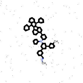 C/N=C/c1cccc(-c2cc(-c3cccc(C)c3)cc(N(c3ccccc3)c3cccc(-c4ccc5c6c(cccc46)-c4c-5c(-c5ccccc5)c5ccccc5c4-c4ccccc4)c3)c2)c1